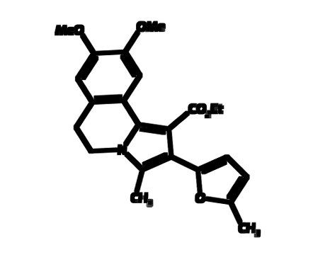 CCOC(=O)c1c(-c2ccc(C)o2)c(C)n2c1-c1cc(OC)c(OC)cc1CC2